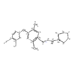 Cc1cc(Oc2ccc(I)c(I)c2)c(C)cc1/N=C/NN1CCCCC1